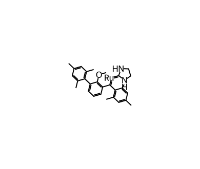 COc1c([C](=[Ru]=[C]2NCCN2)c2c(C)cc(C)cc2C)cccc1-c1c(C)cc(C)cc1C